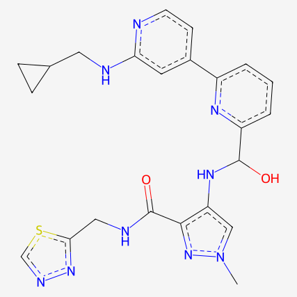 Cn1cc(NC(O)c2cccc(-c3ccnc(NCC4CC4)c3)n2)c(C(=O)NCc2nncs2)n1